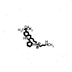 CNCCCS(=O)(=O)NCCCC1Cc2cc(C(C)(C)C)ccc2NC1c1ccccc1